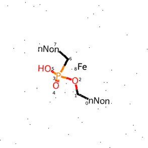 CCCCCCCCCCOP(=O)(O)CCCCCCCCCC.[Fe]